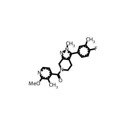 COc1nccc(C(=O)N2CCc3c(nn(C)c3-c3ccc(F)c(C)c3)C2)c1C